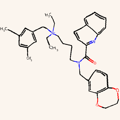 CC[N+](CC)(CCCCN(Cc1ccc2c(c1)OCCO2)C(=O)c1ccc2ccccc2n1)Cc1cc(C)cc(C)c1